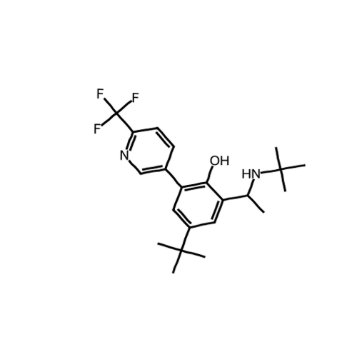 CC(NC(C)(C)C)c1cc(C(C)(C)C)cc(-c2ccc(C(F)(F)F)nc2)c1O